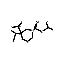 CC(C)OC(=O)N1CCCC(C(C)C)(C(C)C)C1